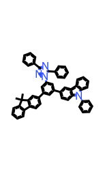 CC1(C)c2ccccc2-c2ccc(-c3cc(-c4ccc5c(c4)c4ccccc4n5-c4ccccc4)cc(-n4nc(-c5ccccc5)nc4-c4ccccc4)c3)cc21